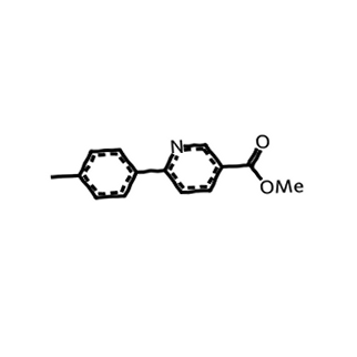 COC(=O)c1ccc(-c2ccc(C)cc2)nc1